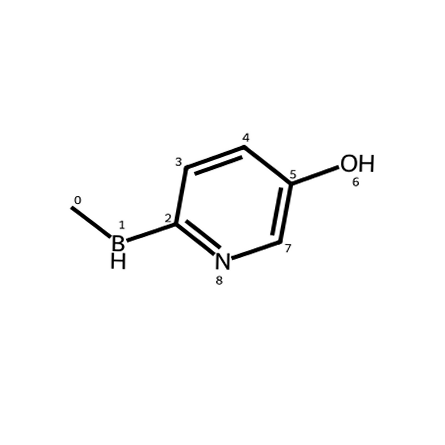 CBc1ccc(O)cn1